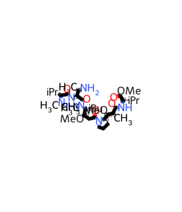 CC[C@H](C)[C@@H]([C@@H](CC(=O)N1CCC[C@H]1[C@H](OC)[C@@H](C)C(=O)N[C@H](C(=O)OC)C(C)C)OC)N(C)C(=O)[C@@H](NC(=O)C(C(C)C)N(C)C)[C@H](C)N